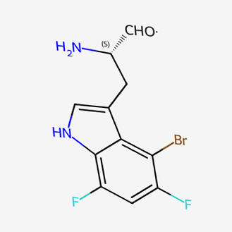 N[C@H]([C]=O)Cc1c[nH]c2c(F)cc(F)c(Br)c12